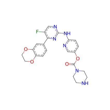 O=C(Oc1ccc(Nc2ncc(F)c(-c3ccc4c(c3)OCCO4)n2)nc1)N1CCNCC1